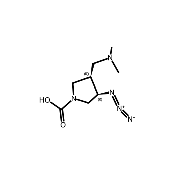 CN(C)C[C@@H]1CN(C(=O)O)C[C@@H]1N=[N+]=[N-]